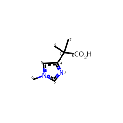 Cn1cnc(C(C)(C)C(=O)O)c1